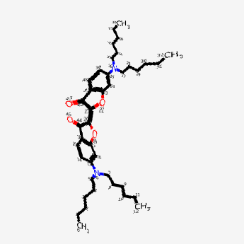 CCCCCCN(CCCCCC)c1ccc2c(c1)OC(=C1Oc3cc(N(CCCCCC)CCCCCC)ccc3C1=O)C2=O